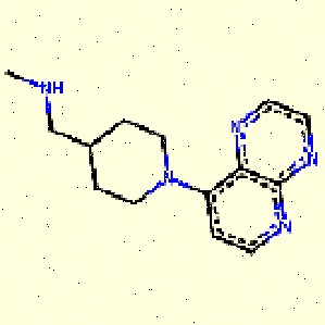 CNCC1CCN(c2ccnc3nccnc23)CC1